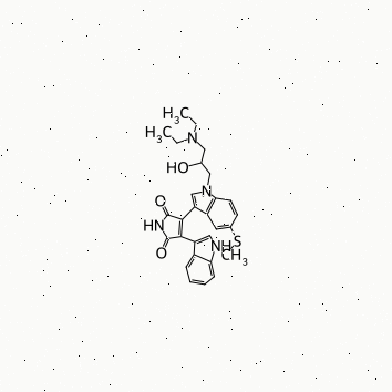 CCN(CC)CC(O)Cn1cc(C2=C(c3c[nH]c4ccccc34)C(=O)NC2=O)c2cc(SC)ccc21